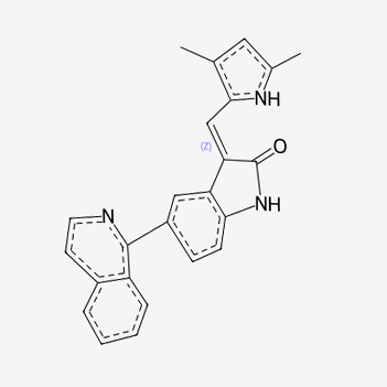 Cc1cc(C)c(/C=C2\C(=O)Nc3ccc(-c4nccc5ccccc45)cc32)[nH]1